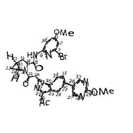 COc1cc(Br)nc(NC(=O)[C@@H]2C[C@H]3C[C@H]3N2C(=O)Cn2nc(C(C)=O)c3cc(-c4cnc(OC)nc4)ccc32)c1